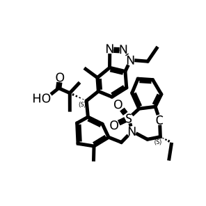 CC[C@H]1Cc2ccccc2S(=O)(=O)N(Cc2cc([C@@H](c3ccc4c(nnn4CC)c3C)C(C)(C)C(=O)O)ccc2C)C1